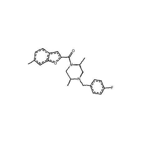 Cc1ccc2cc(C(=O)N3CC(C)N(Cc4ccc(F)cc4)CC3C)oc2c1